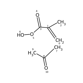 C=C(C)C(=O)OO.CC(C)=O